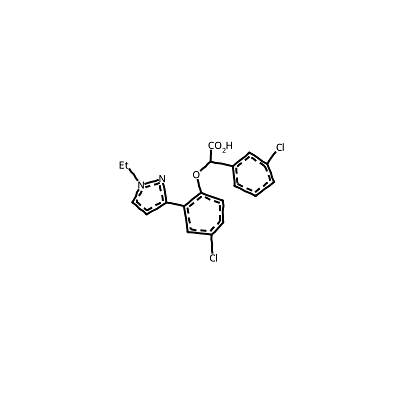 CCn1ccc(-c2cc(Cl)ccc2OC(C(=O)O)c2cccc(Cl)c2)n1